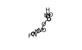 O=C(CCOCCc1cccc2c(=O)[nH]ncc12)N1CCN(c2ccc(F)cn2)CC1